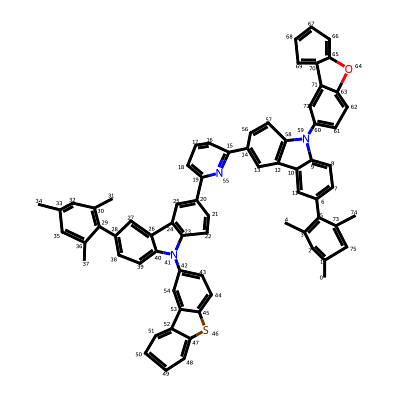 Cc1cc(C)c(-c2ccc3c(c2)c2cc(-c4cccc(-c5ccc6c(c5)c5cc(-c7c(C)cc(C)cc7C)ccc5n6-c5ccc6sc7ccccc7c6c5)n4)ccc2n3-c2ccc3oc4ccccc4c3c2)c(C)c1